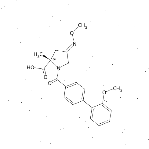 CON=C1CN(C(=O)c2ccc(-c3ccccc3OC)cc2)[C@](C)(C(=O)O)C1